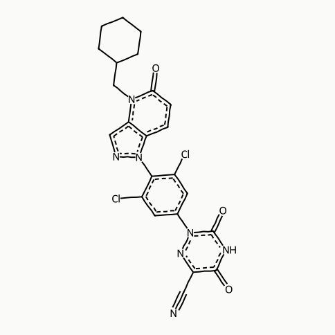 N#Cc1nn(-c2cc(Cl)c(-n3ncc4c3ccc(=O)n4CC3CCCCC3)c(Cl)c2)c(=O)[nH]c1=O